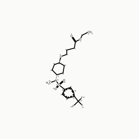 CCOC(=O)CCCO[C@H]1CC[C@H](N(C)S(=O)(=O)c2ccc(C(F)(F)F)cc2)CC1